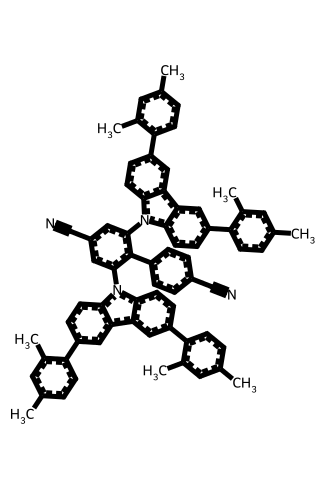 Cc1ccc(-c2ccc3c(c2)c2cc(-c4ccc(C)cc4C)ccc2n3-c2cc(C#N)cc(-n3c4ccc(-c5ccc(C)cc5C)cc4c4cc(-c5ccc(C)cc5C)ccc43)c2-c2ccc(C#N)cc2)c(C)c1